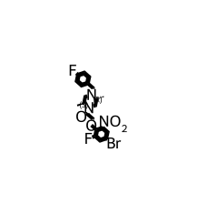 C[C@@H]1CN(C(=O)COc2c(F)cc(Br)cc2[N+](=O)[O-])[C@@H](C)CN1Cc1ccc(F)cc1